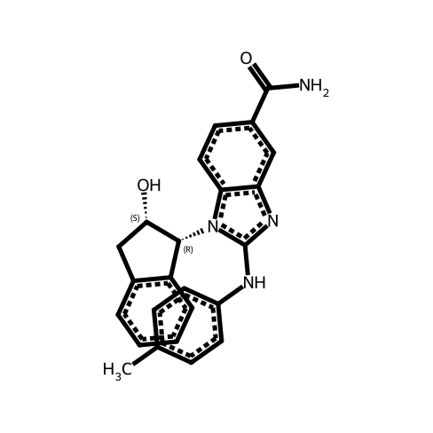 Cc1ccc(Nc2nc3cc(C(N)=O)ccc3n2[C@@H]2c3ccccc3C[C@@H]2O)cc1